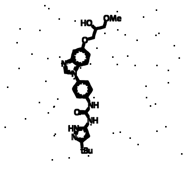 COCC(O)COc1ccc2c(c1)ncn2-c1ccc(NC(=O)Nc2cc(C(C)(C)C)n[nH]2)cc1